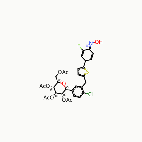 CC(=O)OC[C@H]1O[C@@H](c2ccc(Cl)c(Cc3ccc(C4C=C/C(=N\O)C(F)=C4)s3)c2)[C@H](OC(C)=O)[C@@H](OC(C)=O)[C@@H]1OC(C)=O